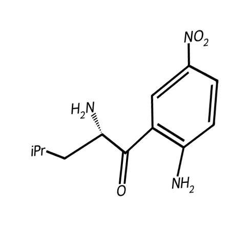 CC(C)C[C@H](N)C(=O)c1cc([N+](=O)[O-])ccc1N